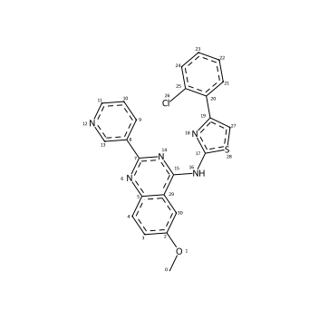 COc1ccc2nc(-c3cccnc3)nc(Nc3nc(-c4ccccc4Cl)cs3)c2c1